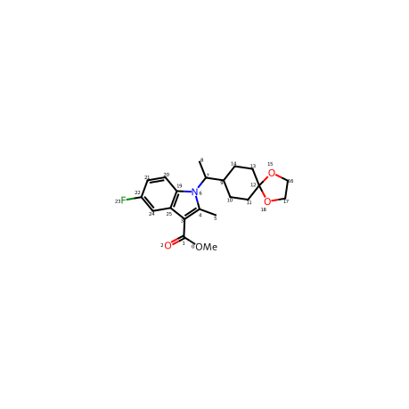 COC(=O)c1c(C)n(C(C)C2CCC3(CC2)OCCO3)c2ccc(F)cc12